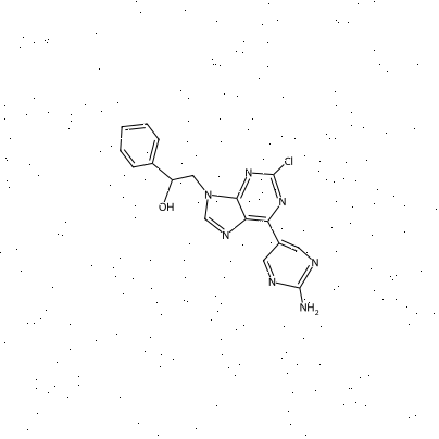 Nc1ncc(-c2nc(Cl)nc3c2ncn3CC(O)c2ccccc2)cn1